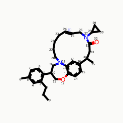 CCCc1cc(C)ccc1C1COc2ccc3cc2N(CCCC/C=C/CN(C2CC2)C(=O)CC3C)C1